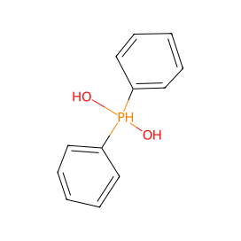 O[PH](O)(c1ccccc1)c1ccccc1